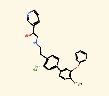 Cl.Cl.O=C(O)c1ccc(-c2ccc(CCNC[C@@H](O)c3cccnc3)cc2)cc1Oc1ccccc1